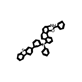 c1ccc(C2Nc3ccc4ccc5c(N(c6ccccc6)c6cccc(-c7ccc8c(c7)sc7ccccc78)c6)cccc5c4c3O2)cc1